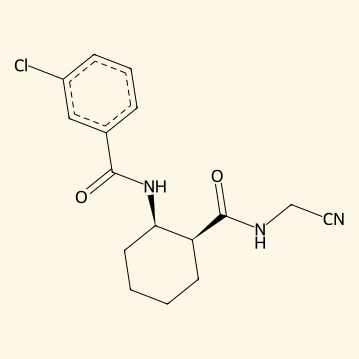 N#CCNC(=O)[C@H]1CCCC[C@H]1NC(=O)c1cccc(Cl)c1